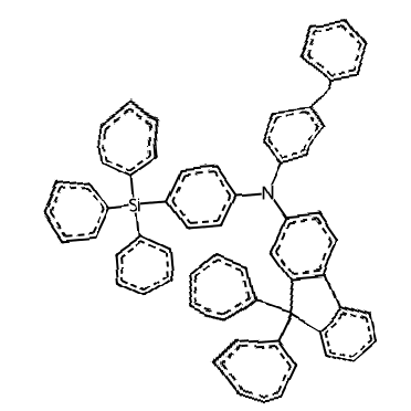 c1ccc(-c2ccc(N(c3ccc([Si](c4ccccc4)(c4ccccc4)c4ccccc4)cc3)c3ccc4c(c3)C(c3ccccc3)(c3ccccc3)c3ccccc3-4)cc2)cc1